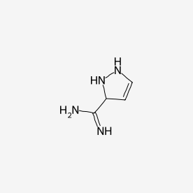 N=C(N)C1C=CNN1